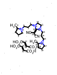 CC1CCCN1CCCN1CCN(CCCN2CCCC2C)C1=C(C#N)C#N.O=C(O)C=CC(=O)O.O=C(O)C=CC(=O)O